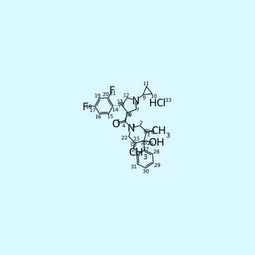 C[C@@H]1CN(C(=O)[C@@H]2CN(C3CC3)C[C@H]2c2ccc(F)cc2F)C[C@H](C)C1(O)c1ccccc1.Cl